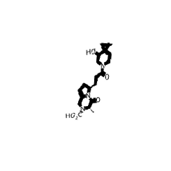 C[C@H]1C(=O)N2C(=CC[C@H]2CCC(=O)N2CCC3(CC3)C(O)C2)CN1C(=O)O